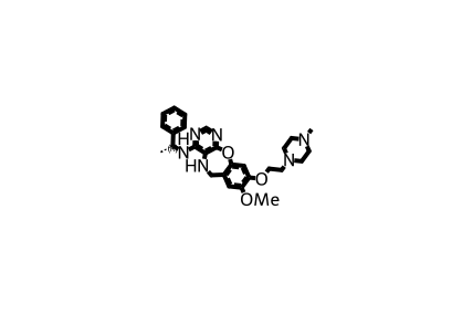 COc1cc2c(cc1OCCN1CCN(C)CC1)Oc1ncnc(N[C@H](C)c3ccccc3)c1NC2